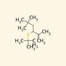 C=C(C)C(CC(C)(C)C)SC(C)(C)C